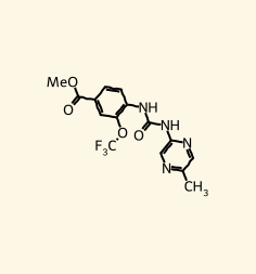 COC(=O)c1ccc(NC(=O)Nc2cnc(C)cn2)c(OC(F)(F)F)c1